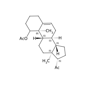 CC(=O)OC1CCCC2=CC[C@H]3[C@@H]4CC[C@H](C(C)=O)[C@@]4(C)CC[C@@H]3[C@]21C